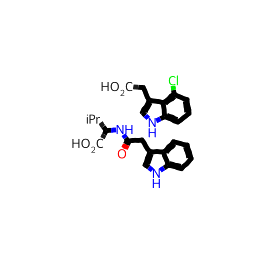 CC(C)C(NC(=O)Cc1c[nH]c2ccccc12)C(=O)O.O=C(O)Cc1c[nH]c2cccc(Cl)c12